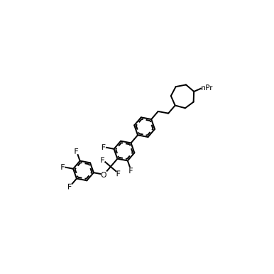 CCCC1CCCC(CCc2ccc(-c3cc(F)c(C(F)(F)Oc4cc(F)c(F)c(F)c4)c(F)c3)cc2)CC1